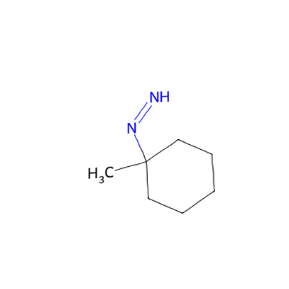 CC1(N=N)CCCCC1